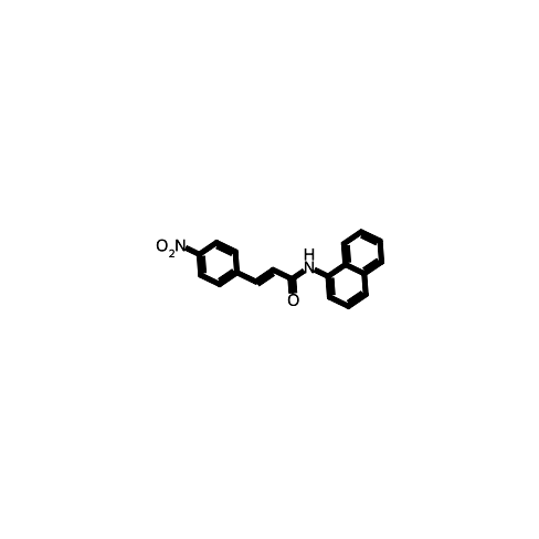 O=C(C=Cc1ccc([N+](=O)[O-])cc1)Nc1cccc2ccccc12